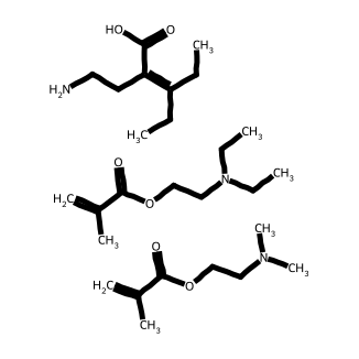 C=C(C)C(=O)OCCN(C)C.C=C(C)C(=O)OCCN(CC)CC.CCC(CC)=C(CCN)C(=O)O